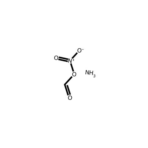 N.O=CO[N+](=O)[O-]